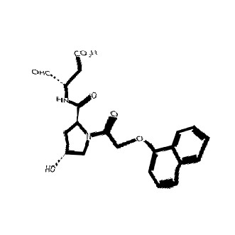 O=C[C@H](CC(=O)O)NC(=O)[C@@H]1C[C@@H](O)CN1C(=O)COc1cccc2ccccc12